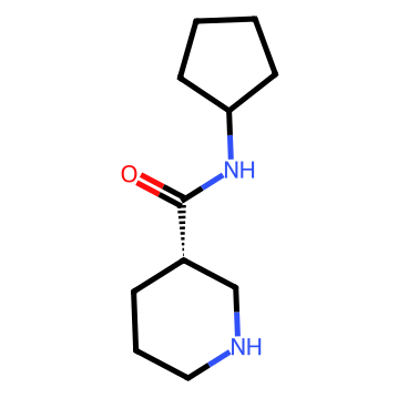 O=C(NC1CCCC1)[C@H]1CCCNC1